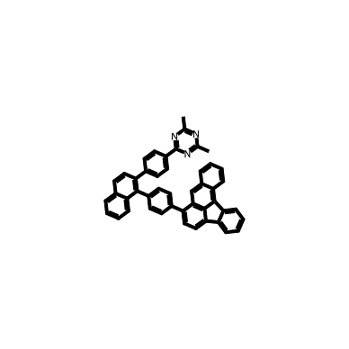 Cc1nc(C)nc(-c2ccc(-c3ccc4ccccc4c3-c3ccc(-c4ccc5c6c(c7ccccc7cc46)-c4ccccc4-5)cc3)cc2)n1